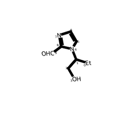 CCC(CO)n1ccnc1C=O